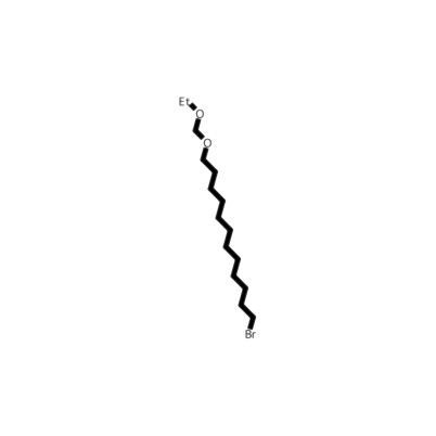 CCOCOCCCCCCCCCCCCBr